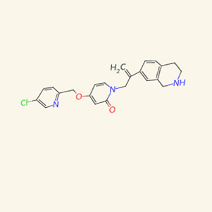 C=C(Cn1ccc(OCc2ccc(Cl)cn2)cc1=O)c1ccc2c(c1)CNCC2